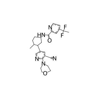 CC1CCC(NC(=O)c2cc(C(C)(F)F)ccn2)CC1c1cnc(N2CCOCC2)c(C#N)c1